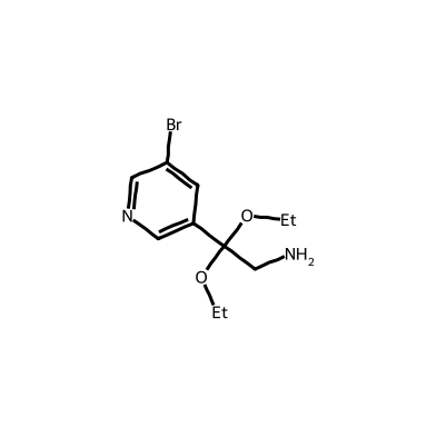 CCOC(CN)(OCC)c1cncc(Br)c1